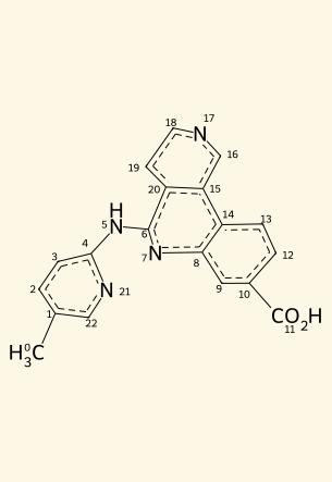 Cc1ccc(Nc2nc3cc(C(=O)O)ccc3c3cnccc23)nc1